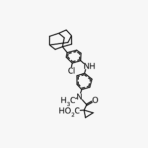 CN(C(=O)C1(C(=O)O)CC1)c1ccc(Nc2ccc(C34CC5CC(CC(C5)C3)C4)cc2Cl)cc1